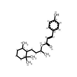 CC(CCC1C(C)CCCC1(C)C)OC(=O)C=Cc1ccc(O)cc1